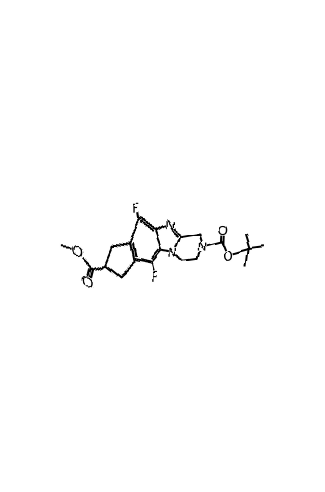 COC(=O)C1Cc2c(c(F)c3c(nc4n3CCN(C(=O)OC(C)(C)C)C4)c2F)C1